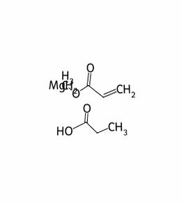 C=CC(=O)OC.CCC(=O)O.[MgH2]